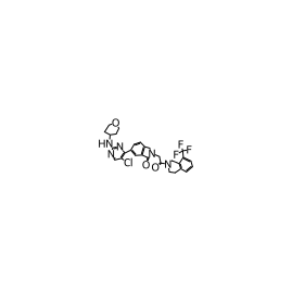 O=C(CN1Cc2ccc(-c3nc(NC4CCOCC4)ncc3Cl)cc2C1=O)N1CCc2cccc(C(F)(F)F)c2C1